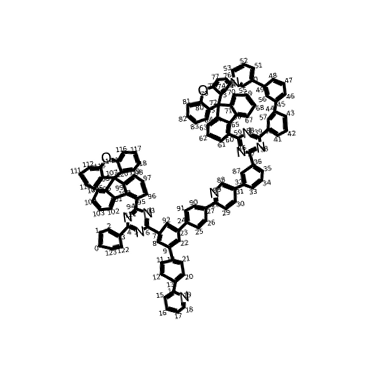 c1ccc(-c2nc(-c3cc(-c4ccc(-c5ccccn5)cc4)cc(-c4ccc(-c5ccc(-c6cccc(-c7nc(-c8cccc(-c9cccc(-c%10cccnc%10)c9)c8)nc(-c8cccc9c8-c8ccccc8C98c9ccccc9Oc9ccccc98)n7)c6)cn5)cc4)c3)nc(-c3cccc4c3-c3ccccc3C43c4ccccc4Oc4ccccc43)n2)cc1